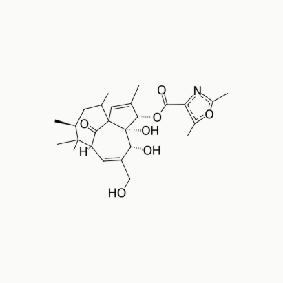 CC1=CC23C(=O)[C@@H](C=C(CO)[C@@H](O)[C@]2(O)[C@H]1OC(=O)c1nc(C)oc1C)C(C)(C)[C@@H](C)CC3C